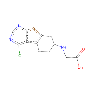 O=C(O)CNC1CCc2c(sc3ncnc(Cl)c23)C1